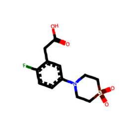 O=C(O)Cc1cc(N2CCS(=O)(=O)CC2)ccc1F